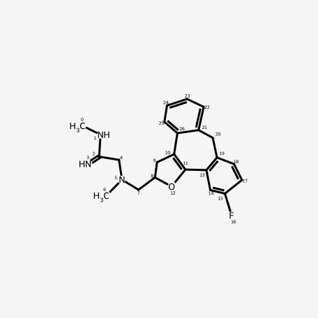 CNC(=N)CN(C)CC1CC2=C(O1)c1cc(F)ccc1Cc1ccccc12